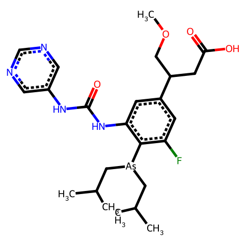 COCC(CC(=O)O)c1cc(F)c([As](CC(C)C)CC(C)C)c(NC(=O)Nc2cncnc2)c1